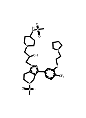 CS(=O)(=O)NC1CCN(CC(O)Cn2nc(-c3ccc(C(F)(F)F)c(SCCN4CCCC4)c3)c3c2CCN(S(C)(=O)=O)C3)CC1